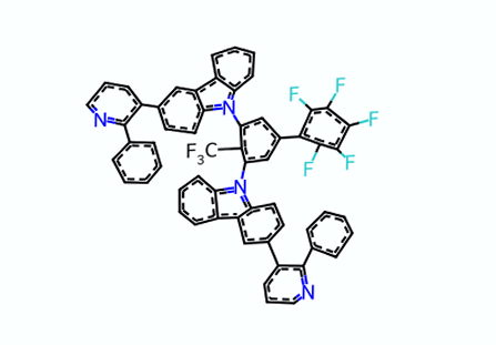 Fc1c(F)c(F)c(-c2cc(-n3c4ccccc4c4cc(-c5cccnc5-c5ccccc5)ccc43)c(C(F)(F)F)c(-n3c4ccccc4c4cc(-c5cccnc5-c5ccccc5)ccc43)c2)c(F)c1F